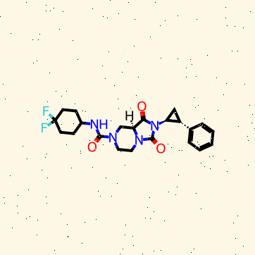 O=C(NC1CCC(F)(F)CC1)N1CCN2C(=O)N([C@H]3C[C@@H]3c3ccccc3)C(=O)[C@@H]2C1